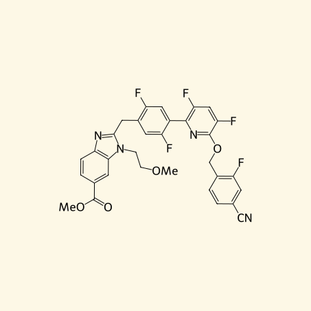 COCCn1c(Cc2cc(F)c(-c3nc(OCc4ccc(C#N)cc4F)c(F)cc3F)cc2F)nc2ccc(C(=O)OC)cc21